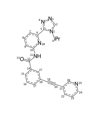 CC(C)n1cnnc1-c1cccc(NC(=O)c2cccc(C#Cc3cccnc3)c2)n1